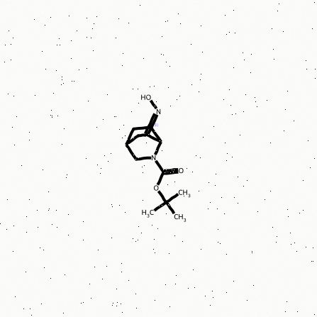 CC(C)(C)OC(=O)N1CC2CCC1/C(=N/O)C2